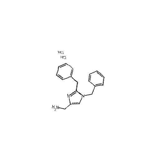 Cl.Cl.NCc1cn(Cc2ccccc2)c(Cc2ccccc2)n1